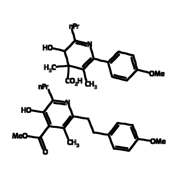 CCCC1=NC(c2ccc(OC)cc2)=C(C)C(C)(C(=O)O)C1O.CCCc1nc(CCc2ccc(OC)cc2)c(C)c(C(=O)OC)c1O